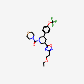 CCOCCc1noc(C2CC(c3ccc(OC(F)(F)F)cc3)CN(C(=O)N3CCSCC3)C2)n1